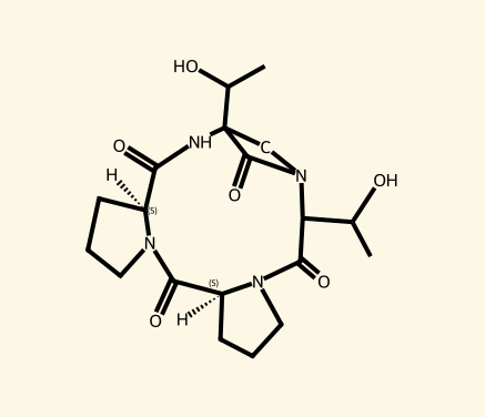 CC(O)C1C(=O)N2CCC[C@H]2C(=O)N2CCC[C@H]2C(=O)NC2(C(C)O)CN1C2=O